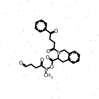 CN(OC(=O)C1Cc2ccccc2CN1C(=O)CCC(=O)c1ccccc1)C(=O)CCC=O